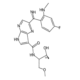 CNc1cc(F)ccc1C(=N)c1cnc2[nH]cc(C(=O)NC(COC)[C@H](C)O)c2n1